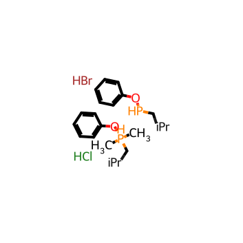 Br.CC(C)CPOc1ccccc1.CC(C)C[PH](C)(C)Oc1ccccc1.Cl